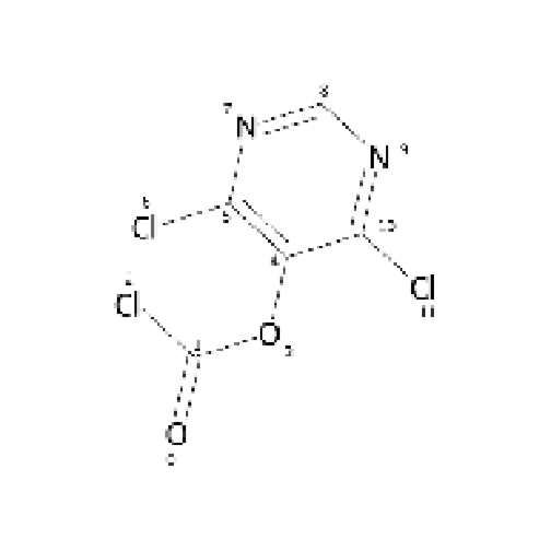 O=C(Cl)Oc1c(Cl)ncnc1Cl